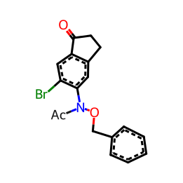 CC(=O)N(OCc1ccccc1)c1cc2c(cc1Br)C(=O)CC2